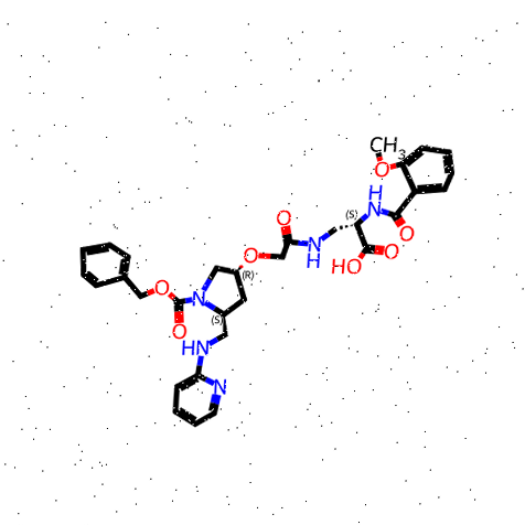 COc1ccccc1C(=O)N[C@@H](CNC(=O)CO[C@@H]1C[C@@H](CNc2ccccn2)N(C(=O)OCc2ccccc2)C1)C(=O)O